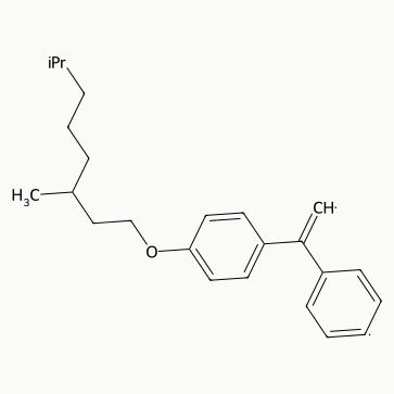 [CH]=C(c1cc[c]cc1)c1ccc(OCCC(C)CCCC(C)C)cc1